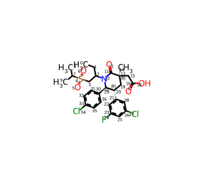 CCC(CS(=O)(=O)C(C)C)N1C(=O)[C@@](C)(CC(=O)O)C[C@H](c2cc(F)cc(Cl)c2)[C@H]1c1ccc(Cl)cc1